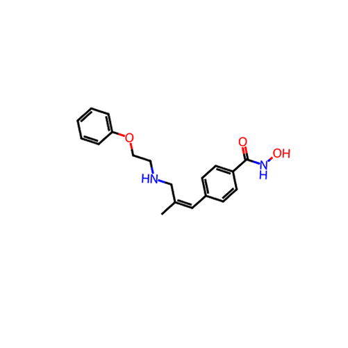 CC(=Cc1ccc(C(=O)NO)cc1)CNCCOc1ccccc1